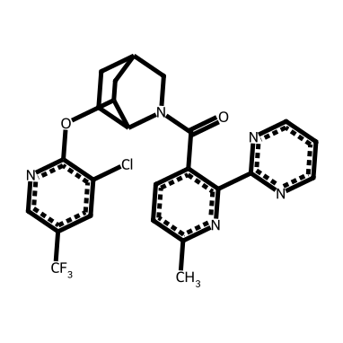 Cc1ccc(C(=O)N2CC3CCC2C(Oc2ncc(C(F)(F)F)cc2Cl)C3)c(-c2ncccn2)n1